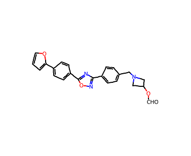 O=COC1CN(Cc2ccc(-c3noc(-c4ccc(-c5ccco5)cc4)n3)cc2)C1